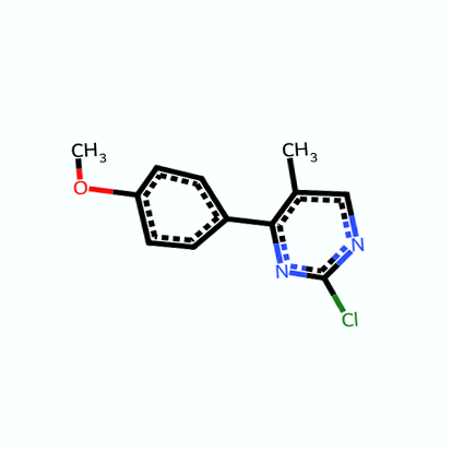 COc1ccc(-c2nc(Cl)ncc2C)cc1